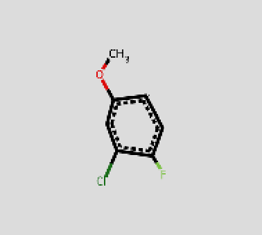 COc1[c]cc(F)c(Cl)c1